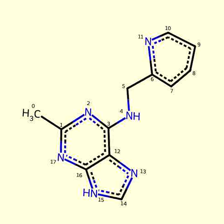 Cc1nc(NCc2ccccn2)c2nc[nH]c2n1